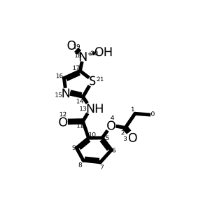 CCC(=O)Oc1ccccc1C(=O)Nc1ncc([N+](=O)O)s1